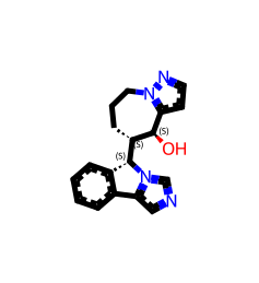 O[C@@H]1c2ccnn2CCC[C@H]1[C@H]1c2ccccc2-c2cncn21